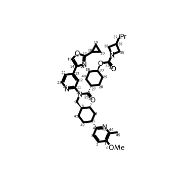 COc1ccc([C@H]2CC[C@H](CN(c3cc(-c4coc(C5CC5)n4)ccn3)C(=O)[C@H]3CC[C@H](OC(=O)N4CC(C(C)C)C4)CC3)CC2)nc1C